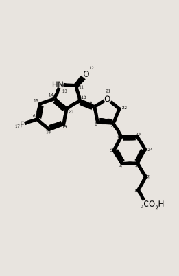 O=C(O)CCc1ccc(C2=CC(=C3C(=O)Nc4cc(F)ccc43)OC2)cc1